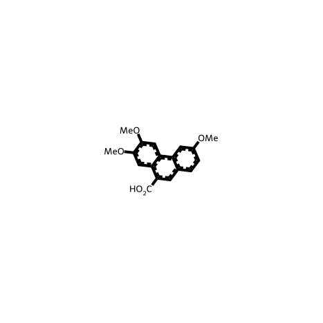 COc1ccc2cc(C(=O)O)c3cc(OC)c(OC)cc3c2c1